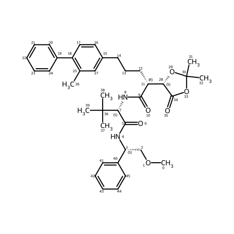 COC[C@@H](NC(=O)[C@@H](NC(=O)[C@H](CCCc1ccc(-c2ccccc2)c(C)c1)[C@@H]1OC(C)(C)OC1=O)C(C)(C)C)c1ccccc1